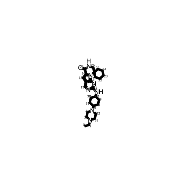 CCN1CCN(C2CCC(Nc3ncc4cc5n(c4n3)C3(CCCCC3)CNC5=O)CC2)CC1